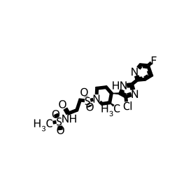 C[C@H]1CN(S(=O)(=O)CCC(=O)NS(C)(=O)=O)CC[C@H]1c1[nH]c(-c2ccc(F)cn2)nc1Cl